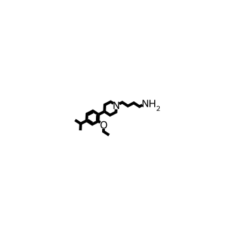 CCOc1cc(C(C)C)ccc1C1CCN(CCCCN)CC1